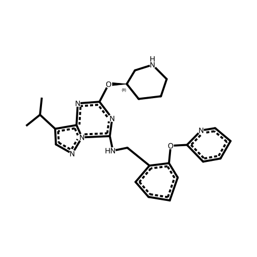 CC(C)c1cnn2c(NCc3ccccc3Oc3ccccn3)nc(O[C@@H]3CCCNC3)nc12